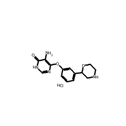 Cl.Nc1c(Oc2cccc(C3CNCCO3)c2)nc[nH]c1=O